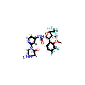 COc1c([C@H]2[C@H](C(=O)Nc3ccnc(N4C[C@@H](C)NCC4=O)c3)O[C@@](C)(C(F)(F)F)[C@H]2C)ccc(F)c1F